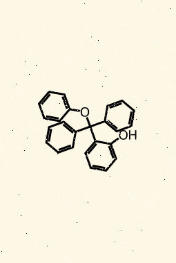 Oc1ccccc1C(Oc1ccccc1)(c1ccccc1)c1ccccc1